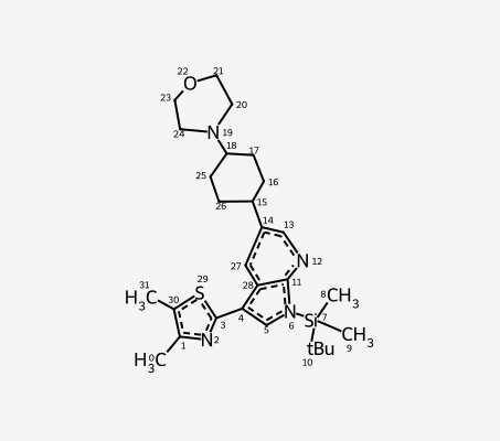 Cc1nc(-c2cn([Si](C)(C)C(C)(C)C)c3ncc(C4CCC(N5CCOCC5)CC4)cc23)sc1C